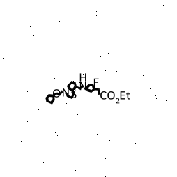 CCOC(=O)CCc1ccc(NCc2cccc3c2SCCN3CCOc2ccccc2)cc1F